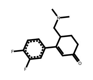 CN(C)CC1CCC(=O)C=C1c1ccc(F)c(F)c1